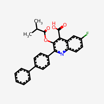 CC(C)C(=O)Oc1c(-c2ccc(-c3ccccc3)cc2)nc2ccc(F)cc2c1C(=O)O